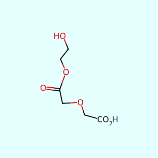 O=C(O)COCC(=O)OCCO